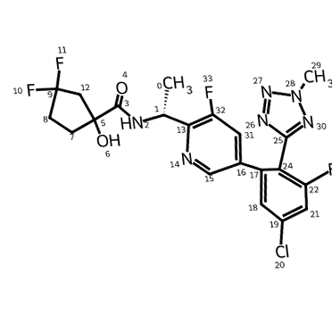 C[C@@H](NC(=O)C1(O)CCC(F)(F)C1)c1ncc(-c2cc(Cl)cc(F)c2-c2nnn(C)n2)cc1F